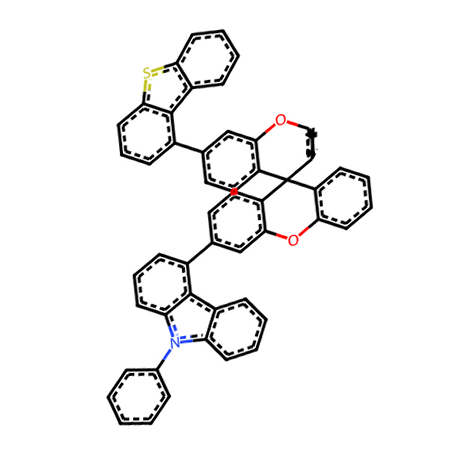 c1ccc(-n2c3ccccc3c3c(-c4ccc5c(c4)Oc4ccccc4C54c5ccccc5Oc5cc(-c6cccc7sc8ccccc8c67)ccc54)cccc32)cc1